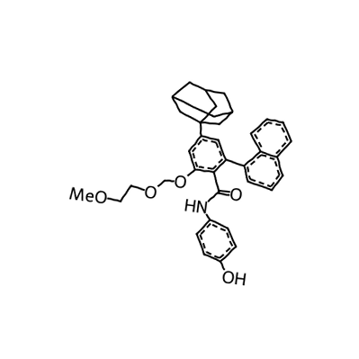 COCCOCOc1cc(C23CC4CC(CC(C4)C2)C3)cc(-c2cccc3ccccc23)c1C(=O)Nc1ccc(O)cc1